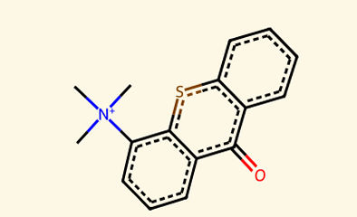 C[N+](C)(C)c1cccc2c(=O)c3ccccc3sc12